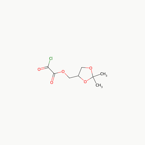 CC1(C)OCC(COC(=O)C(=O)Cl)O1